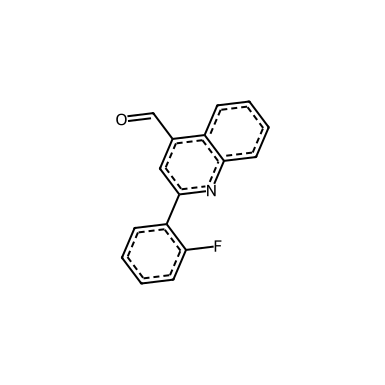 O=Cc1cc(-c2ccccc2F)nc2ccccc12